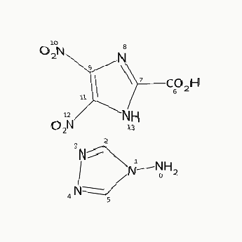 Nn1cnnc1.O=C(O)c1nc([N+](=O)[O-])c([N+](=O)[O-])[nH]1